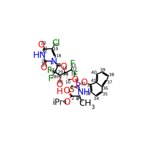 CC(C)OC(=O)[C@H](C)NP(=S)(OC[C@@]1(C(F)F)O[C@@H](n2cc(Cl)c(=O)[nH]c2=O)C(F)(F)[C@@H]1O)Oc1cccc2ccccc12